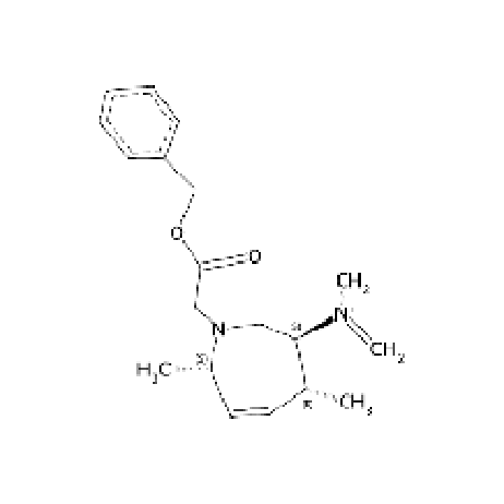 C=[N+](C)[C@@H]1CN(CC(=O)OCc2ccccc2)[C@@H](C)C=C[C@H]1C